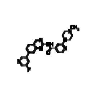 CN1CCN(c2cc(C(=O)Nc3ncc4ccc(-c5cncc(F)c5)cc4n3)ccn2)CC1